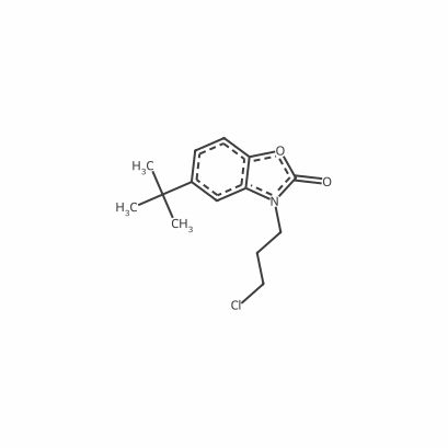 CC(C)(C)c1ccc2oc(=O)n(CCCCl)c2c1